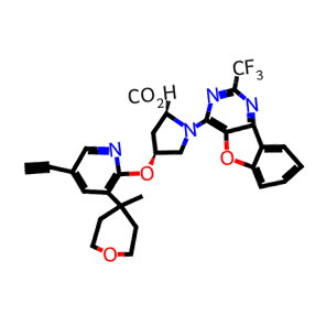 C#Cc1cnc(O[C@H]2C[C@@H](C(=O)O)N(c3nc(C(F)(F)F)nc4c3oc3ccccc34)C2)c(C2(C)CCOCC2)c1